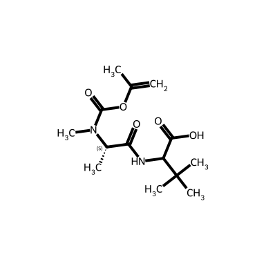 C=C(C)OC(=O)N(C)[C@@H](C)C(=O)NC(C(=O)O)C(C)(C)C